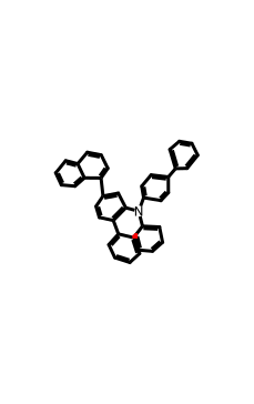 c1ccc(-c2ccc(N(c3ccccc3)c3cc(-c4cccc5ccccc45)ccc3-c3ccccc3)cc2)cc1